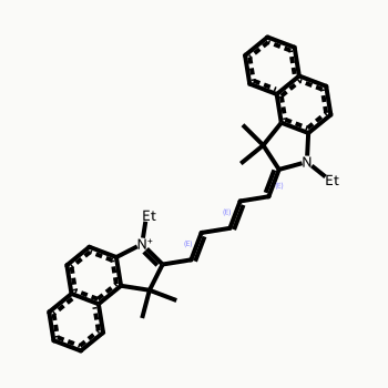 CCN1/C(=C/C=C/C=C/C2=[N+](CC)c3ccc4ccccc4c3C2(C)C)C(C)(C)c2c1ccc1ccccc21